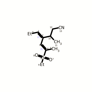 CC/C=C(\C=C(/C)S(=O)(=O)CC)C(C)CC#N